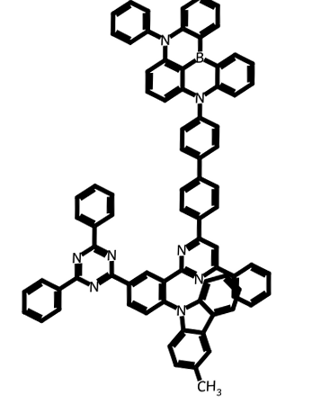 Cc1ccc2c(c1)c1ccccc1n2-c1ccc(-c2nc(-c3ccccc3)nc(-c3ccccc3)n2)cc1-c1nc(-c2ccccc2)cc(-c2ccc(-c3ccc(N4c5ccccc5B5c6ccccc6N(c6ccccc6)c6cccc4c65)cc3)cc2)n1